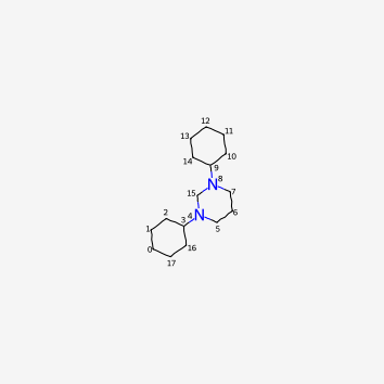 C1CCC(N2CCCN(C3CCCCC3)C2)CC1